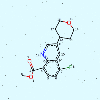 COC(=O)c1ccc(F)c2cc(C3CCOCC3)cnc12